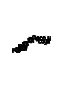 O=C(O)C1(C(=O)O)CC(Oc2ccc(-c3ccc(-c4nc5cc(F)ccc5[nH]4)c(F)c3)cn2)C1